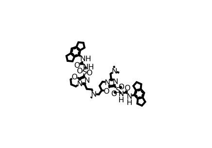 CN(C)Cc1nc(S(=O)(=O)NC(=O)Nc2c3c(cc4c2CCC4)CCC3)c2n1CCC(CN(C)CCc1nc(S(=O)(=O)NC(=O)Nc3c4c(cc5c3CCC5)CCC4)c3n1CCCO3)O2